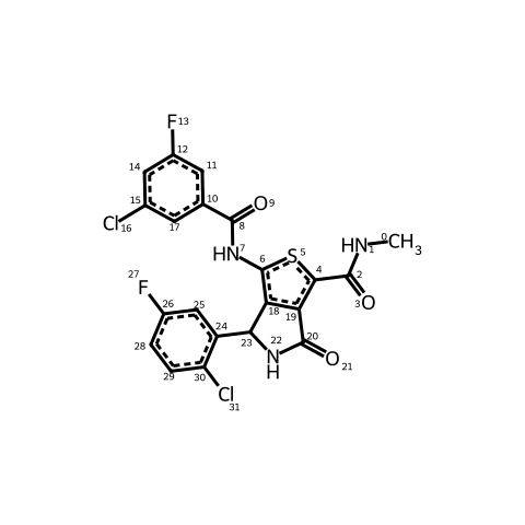 CNC(=O)c1sc(NC(=O)c2cc(F)cc(Cl)c2)c2c1C(=O)NC2c1cc(F)ccc1Cl